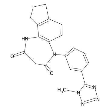 Cn1nnnc1-c1cccc(N2C(=O)CC(=O)Nc3c2ccc2c3CCC2)c1